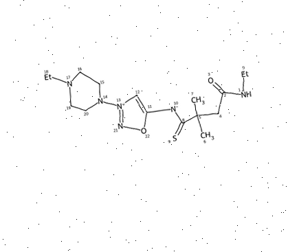 CCNC(=O)CC(C)(C)C(=S)[N-]c1c[n+](N2CCN(CC)CC2)no1